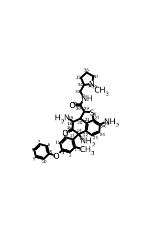 Cc1cc(Oc2ccccc2)ccc1C1(N)C(=O)C(N)C2c3c1ccc(N)c3SC2C(=O)NCC1CCCN1C